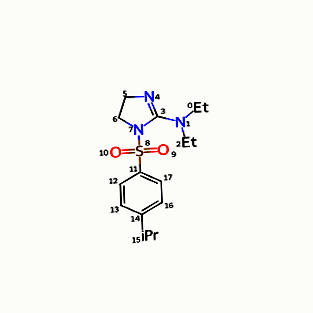 CCN(CC)C1=NCCN1S(=O)(=O)c1ccc(C(C)C)cc1